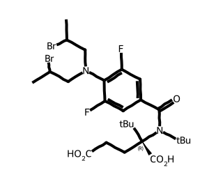 CC(Br)CN(CC(C)Br)c1c(F)cc(C(=O)N(C(C)(C)C)[C@@](CCC(=O)O)(C(=O)O)C(C)(C)C)cc1F